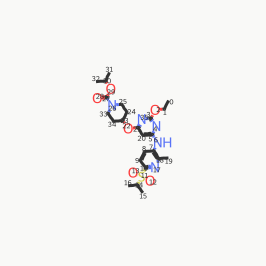 CCOc1nc(Nc2ccc(S(=O)(=O)C(C)C)nc2C)cc(OC2CCN(C(=O)OC(C)C)CC2)n1